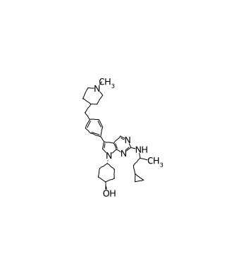 CC(CC1CC1)Nc1ncc2c(-c3ccc(CC4CCN(C)CC4)cc3)cn([C@H]3CC[C@H](O)CC3)c2n1